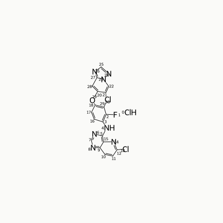 Cl.Fc1c(Nc2ncnc3ccc(Cl)nc23)ccc(Oc2ccn3ncnc3c2)c1Cl